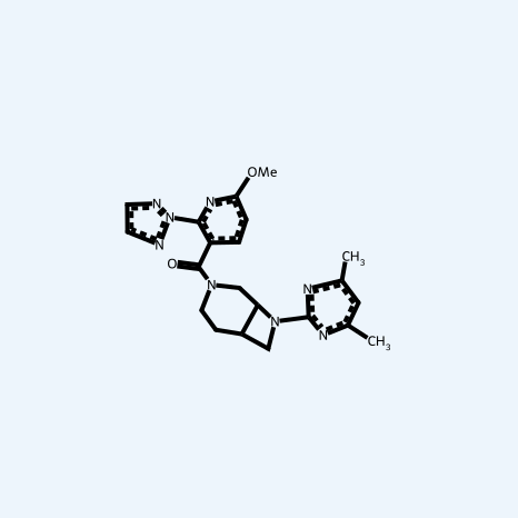 COc1ccc(C(=O)N2CCC3CN(c4nc(C)cc(C)n4)C3C2)c(-n2nccn2)n1